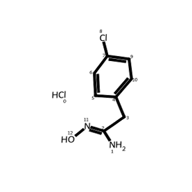 Cl.NC(Cc1ccc(Cl)cc1)=NO